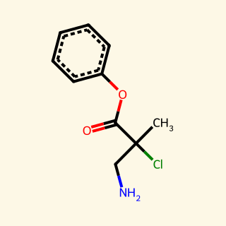 CC(Cl)(CN)C(=O)Oc1ccccc1